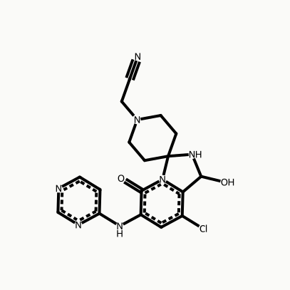 N#CCN1CCC2(CC1)NC(O)c1c(Cl)cc(Nc3ccncn3)c(=O)n12